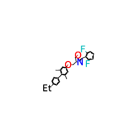 CCc1ccc(-c2c(C)cc(OCC3COC(c4c(F)cccc4F)=N3)cc2C)cc1